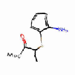 COC(=O)C(C)Sc1ccccc1N